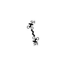 CC(C)(S)C(=O)OCCCCOC(=O)C(C)(C)S